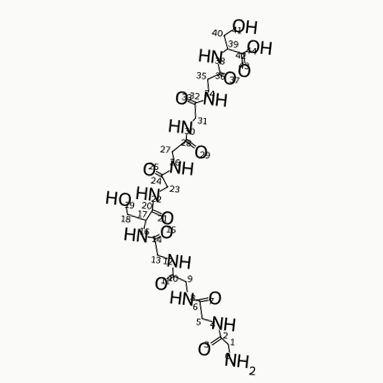 NCC(=O)NCC(=O)NCC(=O)NCC(=O)NC(CO)C(=O)NCC(=O)NCC(=O)NCC(=O)NCC(=O)NC(CO)C(=O)O